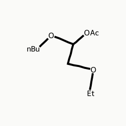 CCCCOC(COCC)OC(C)=O